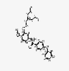 CCCN(CCC)CCOc1cc(NC(=O)c2ccc(Cc3ccccc3)cc2)ccc1OC